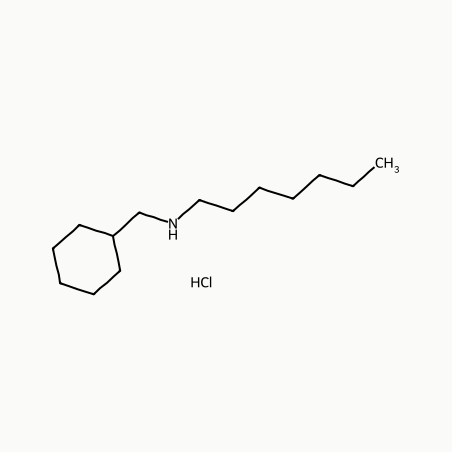 CCCCCCCNCC1CCCCC1.Cl